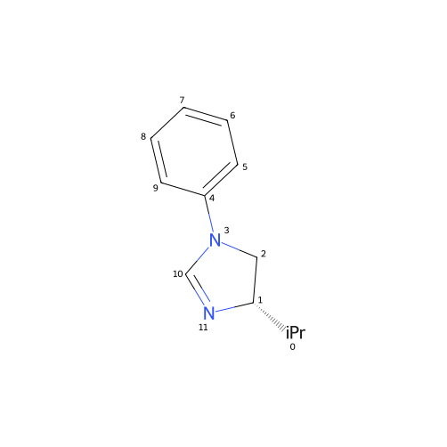 CC(C)[C@H]1CN(c2ccccc2)C=N1